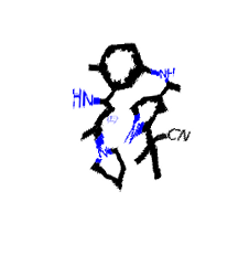 C=C(Nc1ccc(C)c(C(=N)/C=C(\C)N2CCCCC2)c1)c1ccnc(C(C)(C)C#N)c1